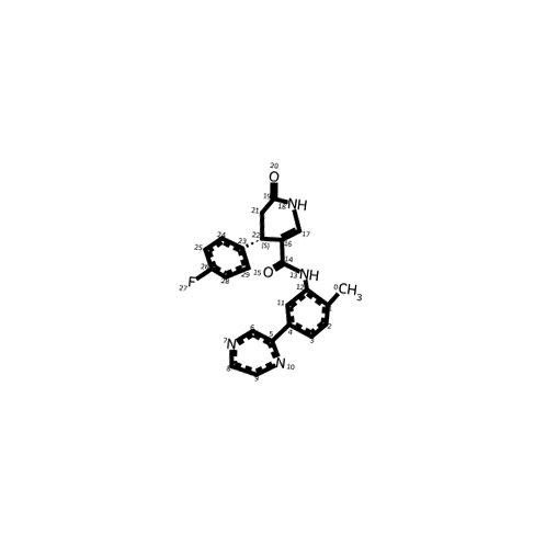 Cc1ccc(-c2cnccn2)cc1NC(=O)C1=CNC(=O)C[C@H]1c1ccc(F)cc1